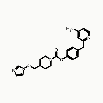 Cc1ccnc(Cc2ccc(OC(=O)N3CCC(COn4ccnc4)CC3)cc2)c1